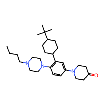 CCCCN1CCN(c2ccc(N3CCC(=O)CC3)cc2C2CCC(C(C)(C)C)CC2)CC1